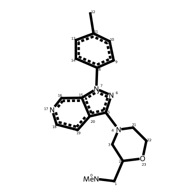 CNCC1CN(c2nn(-c3ccc(C)cc3)c3cnccc23)CCO1